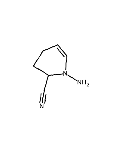 N#CC1CCC=CN1N